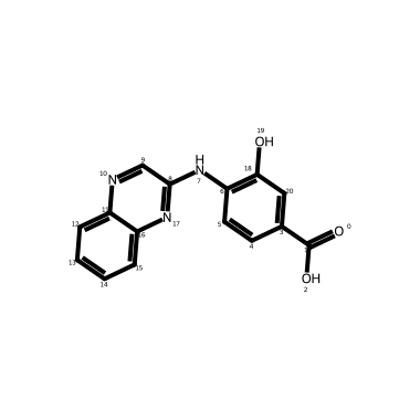 O=C(O)c1ccc(Nc2cnc3ccccc3n2)c(O)c1